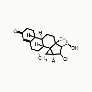 C[C@H]1[C@H]2C[C@]23[C@H]2[C@H](CC[C@]3(C)[C@@H]1CO)[C@H]1CCC(=O)C=C1C[C@H]2C